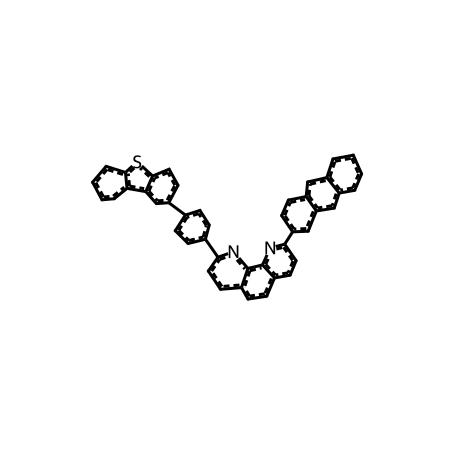 c1ccc2cc3cc(-c4ccc5ccc6ccc(-c7ccc(-c8ccc9sc%10ccccc%10c9c8)cc7)nc6c5n4)ccc3cc2c1